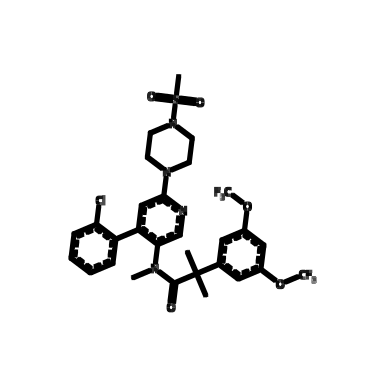 CN(C(=O)C(C)(C)c1cc(OC(F)(F)F)cc(OC(F)(F)F)c1)c1cnc(N2CCN(S(C)(=O)=O)CC2)cc1-c1ccccc1Cl